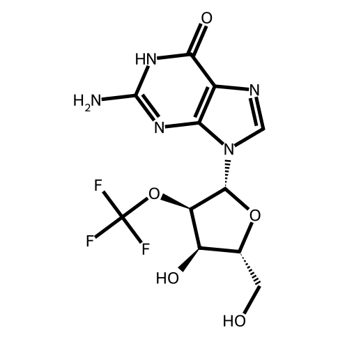 Nc1nc2c(ncn2[C@@H]2O[C@H](CO)[C@@H](O)[C@H]2OC(F)(F)F)c(=O)[nH]1